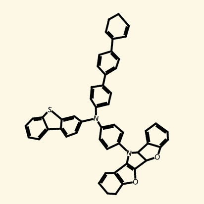 C1=CC(c2ccc(-c3ccc(N(c4ccc(N5c6c(oc7c6C=CCC7)C6Oc7ccccc7C65)cc4)c4ccc5c(c4)sc4ccccc45)cc3)cc2)=CCC1